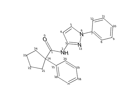 O=C(Nc1ccn(-c2ccccc2)n1)C1(c2ccccc2)CCCC1